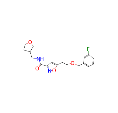 O=C(NCC1CCOC1)c1cc(CCOCc2cccc(F)c2)on1